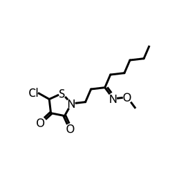 CCCCCC(CCN1SC(Cl)C(=O)C1=O)=NOC